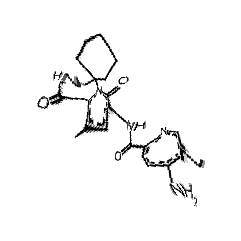 Cc1cc(NC(=O)c2cc(N)ncn2)c(=O)n2c1C(=O)NC21CCCCC1